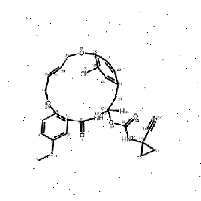 CSc1ccc2c(c1)C(=O)N[C@@H](OC(=O)NC1(C#N)CC1)Cc1ccc(c(Cl)c1)OC/C=C/CO2